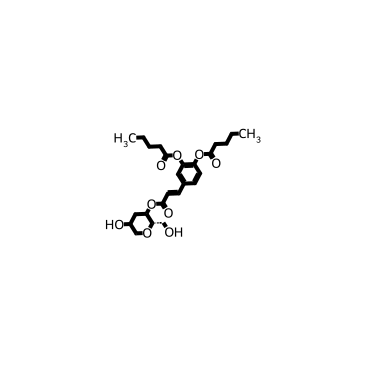 CCCCC(=O)Oc1ccc(/C=C/C(=O)OC2CC(O)CO[C@H]2CO)cc1OC(=O)CCCC